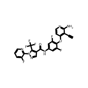 C#Cc1c(Oc2c(F)cc(NC(=O)c3cnn(-c4ncccc4F)c3C(F)(F)F)cc2F)ccnc1N